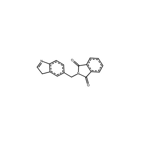 O=C1c2ccccc2C(=O)N1Cc1ccc2c(c1)CC=N2